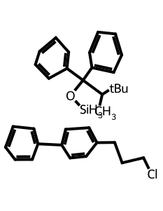 CC(C(C)(C)C)C(O[SiH3])(c1ccccc1)c1ccccc1.ClCCCc1ccc(-c2ccccc2)cc1